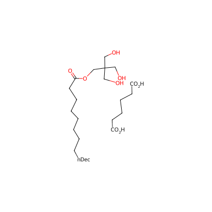 CCCCCCCCCCCCCCCCCC(=O)OCC(CO)(CO)CO.O=C(O)CCCCC(=O)O